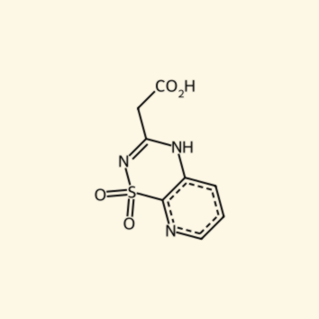 O=C(O)CC1=NS(=O)(=O)c2ncccc2N1